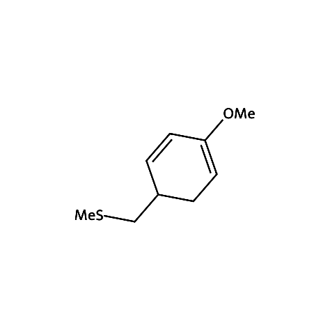 COC1=CCC(CSC)C=C1